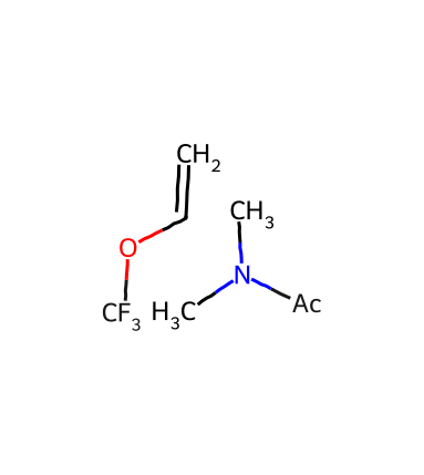 C=COC(F)(F)F.CC(=O)N(C)C